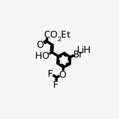 CCOC(=O)C(=O)C=C(O)c1cc(Br)cc(OC(F)F)c1.[LiH]